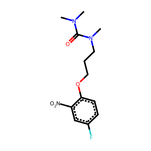 CN(C)C(=O)N(C)CCCOc1ccc(F)cc1[N+](=O)[O-]